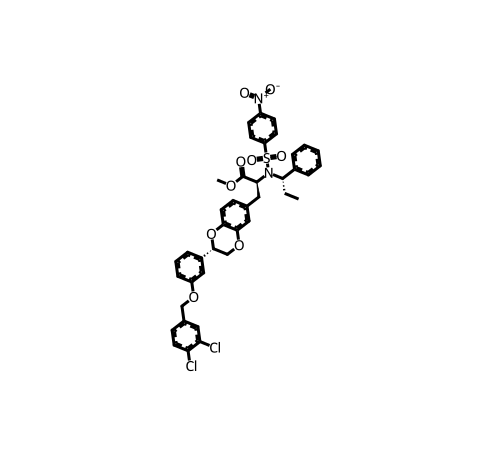 CC[C@@H](c1ccccc1)N([C@@H](Cc1ccc2c(c1)OC[C@H](c1cccc(OCc3ccc(Cl)c(Cl)c3)c1)O2)C(=O)OC)S(=O)(=O)c1ccc([N+](=O)[O-])cc1